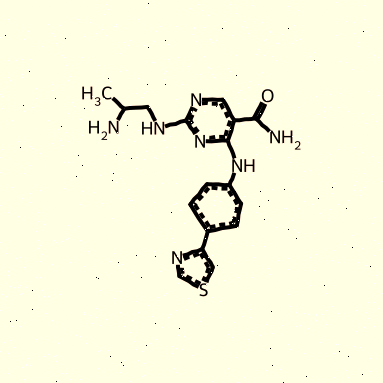 CC(N)CNc1ncc(C(N)=O)c(Nc2ccc(-c3cscn3)cc2)n1